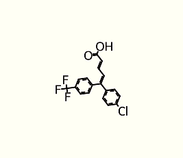 O=C(O)/C=C/C=C(/c1ccc(Cl)cc1)c1ccc(C(F)(F)F)cc1